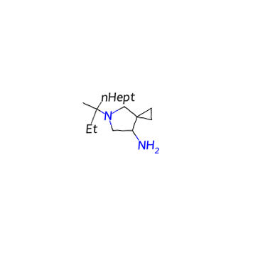 CCCCCCCC(C)(CC)N1CC(N)C2(CC2)C1